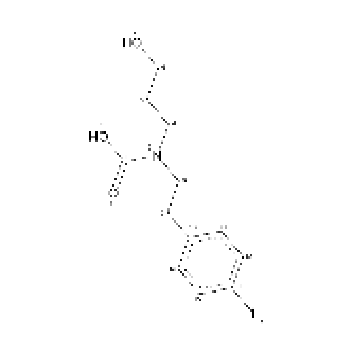 O=C(O)N(CCCO)CCc1ccc(I)cc1